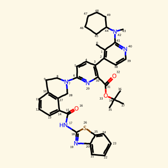 Cc1c(-c2ccc(N3CCc4cccc(C(=O)Nc5nc6ccccc6s5)c4C3)nc2C(=O)OC(C)(C)C)ccnc1N(C)C1CCCCC1